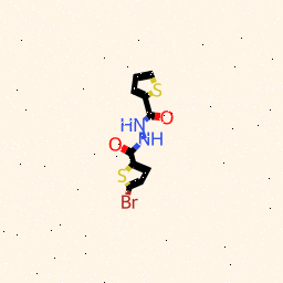 O=C(NNC(=O)c1ccc(Br)s1)c1cccs1